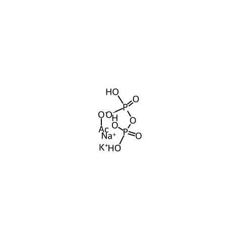 CC(=O)[O-].O=P([O-])(O)OP(=O)(O)O.[K+].[Na+]